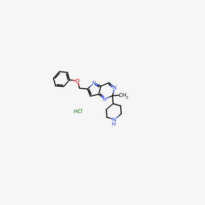 CC1(C2CCNCC2)N=CC2=NC(COc3ccccc3)=CC2=N1.Cl